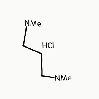 CNCCCNC.Cl